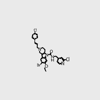 CCOc1cc2c(cc1Br)c1c(n2C(=O)NCc2ccnc(Cl)c2)CCN(CC=Cc2ccc(Cl)cc2)C1